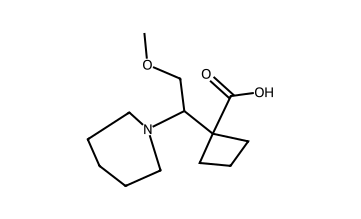 COCC(N1CCCCC1)C1(C(=O)O)CCC1